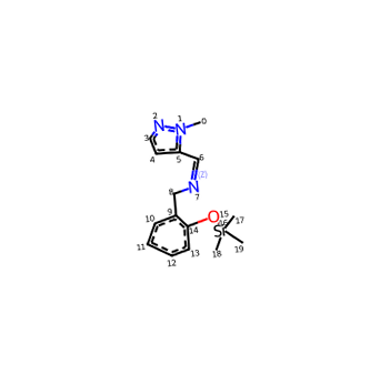 Cn1nccc1/C=N\Cc1ccccc1O[Si](C)(C)C